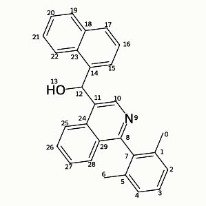 Cc1cccc(C)c1-c1ncc(C(O)c2cccc3ccccc23)c2ccccc12